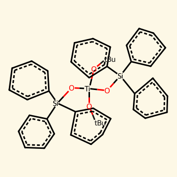 CC(C)(C)[O][Ti]([O]C(C)(C)C)([O][Si](c1ccccc1)(c1ccccc1)c1ccccc1)[O][Si](c1ccccc1)(c1ccccc1)c1ccccc1